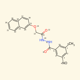 Cc1cc(N=O)cc(C(=O)NNC(=O)COc2ccc3ccccc3c2)c1